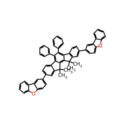 CC1(C)c2cc(-c3ccc4oc5ccccc5c4c3)ccc2-c2c(-c3ccccc3)c(-c3ccccc3)c3c(c21)C(C)(C)c1cc(-c2ccc4oc5ccccc5c4c2)ccc1-3